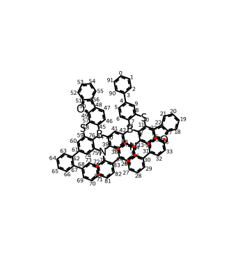 c1ccc(-c2ccc3c(c2)Sc2c4c(cc5oc6ccccc6c25)N(c2ccccc2-c2ccccc2)c2cc5c(cc2B34)B2c3ccc4c(oc6ccccc64)c3Sc3cc(-c4ccccc4-c4ccccc4)cc(c32)N5c2ccccc2-c2ccccc2)cc1